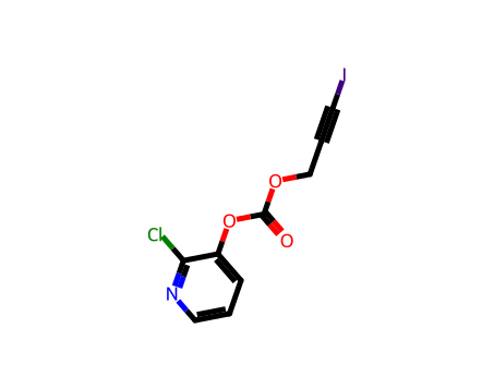 O=C(OCC#CI)Oc1cccnc1Cl